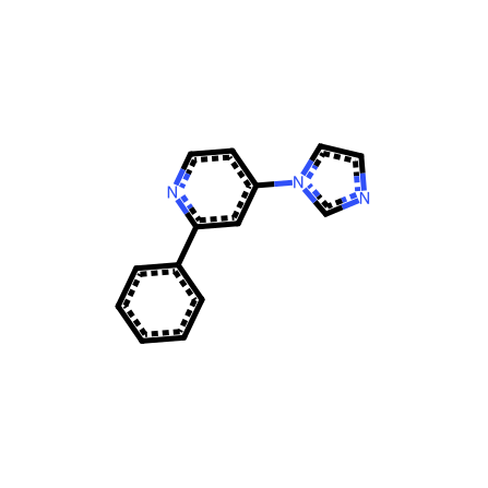 c1ccc(-c2cc(-n3ccnc3)ccn2)cc1